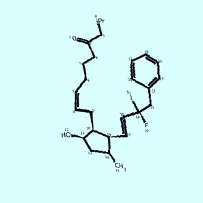 CC(C)CC(=O)CCC/C=C\C[C@@H]1[C@H](O)CC(C)[C@@H]1/C=C/[C@](F)(I)Cc1ccccc1